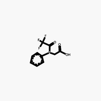 O=C(O)CN(C(=O)C(F)(F)F)c1ccccc1